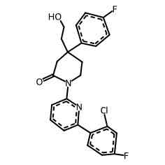 O=C1CC(CCO)(c2ccc(F)cc2)CCN1c1cccc(-c2ccc(F)cc2Cl)n1